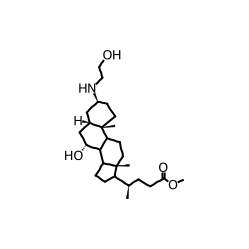 COC(=O)CC[C@@H](C)C1CCC2C3C(CC[C@@]21C)[C@@]1(C)CC[C@H](NCCO)C[C@H]1C[C@H]3O